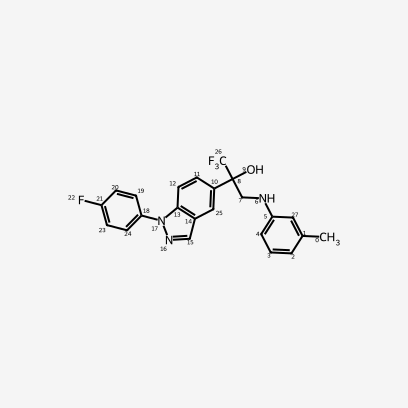 Cc1cccc(NCC(O)(c2ccc3c(cnn3-c3ccc(F)cc3)c2)C(F)(F)F)c1